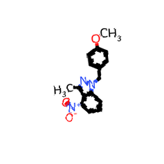 COc1ccc(Cn2nc(C)c3c([N+](=O)[O-])cccc32)cc1